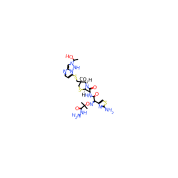 CC(O)N1C=C2N=CC=C(SCC3(C(=O)O)CS[C@@H]4C(NC(=O)C(=NOC(C)(C)C(=O)NN)c5csc(N)n5)C(=O)N4C3)N2N1